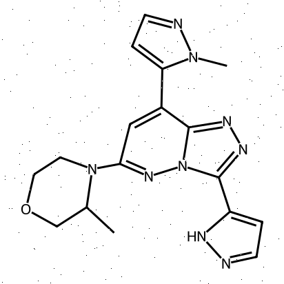 CC1COCCN1c1cc(-c2ccnn2C)c2nnc(-c3ccn[nH]3)n2n1